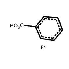 O=C(O)c1ccccc1.[Fr]